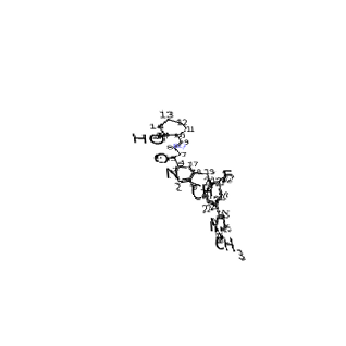 Cc1cnc(C(=O)C/C=C/C2CCCC[C@@H]2O)cc1Cc1ccc(-c2ccn(C)n2)cc1F